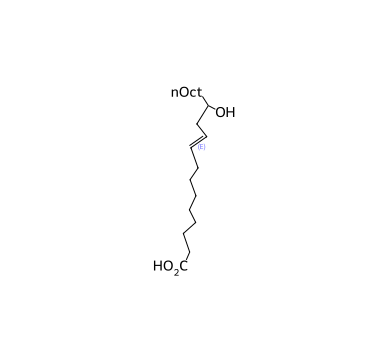 CCCCCCCCC(O)C/C=C/CCCCCCCC(=O)O